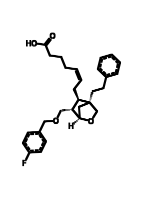 O=C(O)CCC/C=C\C[C@@H]1[C@@H](COCc2ccc(F)cc2)[C@H]2C[C@]1(CCc1ccccc1)CO2